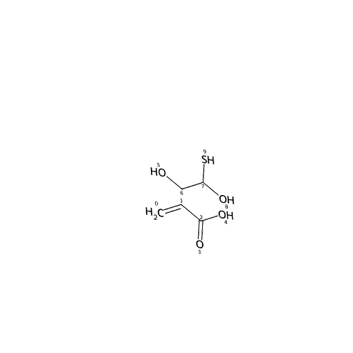 C=CC(=O)O.OCC(O)S